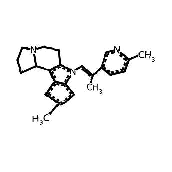 C/C(=C\n1c2c(c3cc(C)ccc31)C1CCCN1CC2)c1ccc(C)nc1